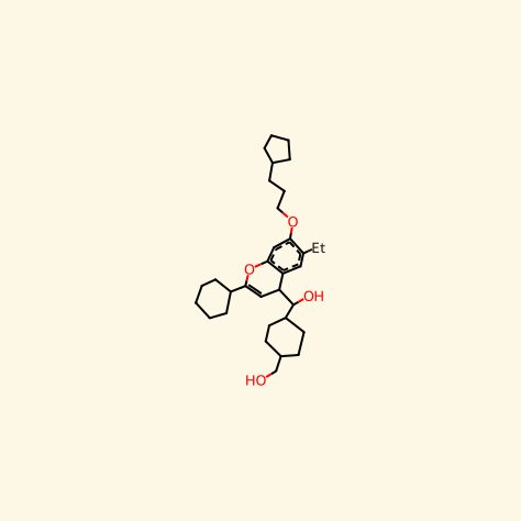 CCc1cc2c(cc1OCCCC1CCCC1)OC(C1CCCCC1)=CC2C(O)C1CCC(CO)CC1